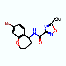 CC(C)(C)c1nc(C(=O)NC2CCCOc3cc(Br)ccc32)no1